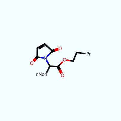 CCCCCCCCCC(C(=O)OCCC(C)C)N1C(=O)C=CC1=O